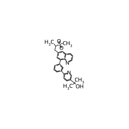 CC(Cc1cc(-c2cccc(-c3ccc(C(C)(C)O)cn3)c2)c2ncccc2c1)S(C)(=O)=O